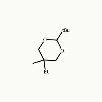 CCC1(C)COC(C(C)(C)C)OC1